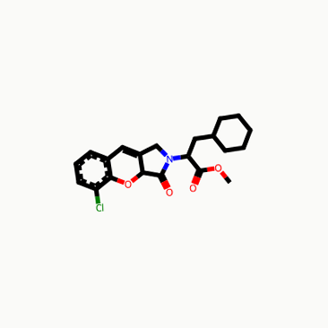 COC(=O)C(CC1CCCCC1)N1CC2=Cc3cccc(Cl)c3OC2C1=O